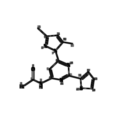 CCC(=O)Nc1cc(-n2nc(C)cc2C)nc(-c2cccs2)n1